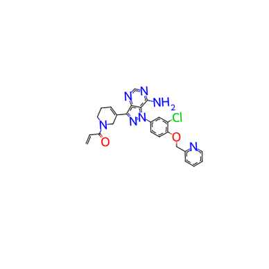 C=CC(=O)N1CCC=C(c2nn(-c3ccc(OCc4ccccn4)c(Cl)c3)c3c(N)ncnc23)C1